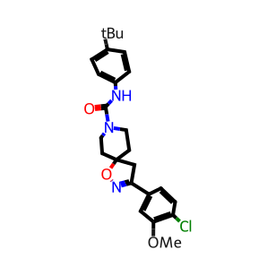 COc1cc(C2=NOC3(CCN(C(=O)Nc4ccc(C(C)(C)C)cc4)CC3)C2)ccc1Cl